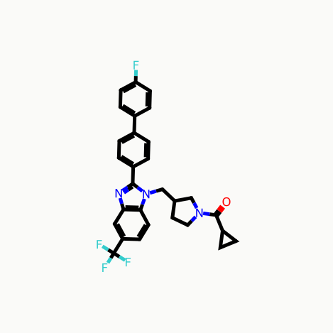 O=C(C1CC1)N1CCC(Cn2c(-c3ccc(-c4ccc(F)cc4)cc3)nc3cc(C(F)(F)F)ccc32)C1